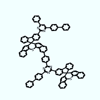 c1ccc(-c2ccc(-c3cc(-c4ccccc4)nc(-c4ccc5c(c4)-c4ccccc4C54c5ccc6ccccc6c5Sc5c4ccc4ccc(-c6ccc(-c7nc(-c8ccc(-c9ccccc9)cc8)nc(-c8ccc9c(c8)-c8ccccc8C98c9ccc%10ccccc%10c9Sc9c8ccc8ccccc98)n7)cc6)cc54)n3)cc2)cc1